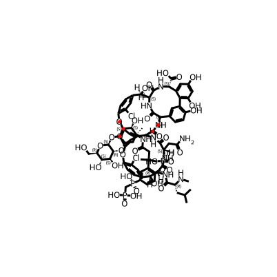 CN[C@H](CC(C)C)C(=O)N[C@H]1C(=O)N[C@@H](CC(N)=O)C(=O)N[C@H]2C(=O)N[C@H]3C(=O)N[C@H](C(=O)N[C@H](C(=O)O)c4cc(O)cc(O)c4-c4cc3ccc4O)[C@H](O)c3ccc(c(Cl)c3)Oc3cc2cc(c3O[C@@H]2O[C@H](CO)[C@@H](O)[C@H](O)[C@H]2O[C@H]2C[C@](C)(NC(=O)CC(C)(C)c3cc(P(=O)(O)CP(=O)(O)O)ccc3OP(=O)(O)O)[C@H](O)[C@H](C)O2)Oc2ccc(cc2Cl)[C@H]1O